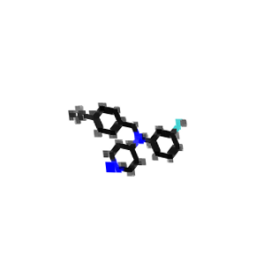 Fc1cccc(N(Cc2ccc(C(F)(F)F)cc2)C2CCNCC2)c1